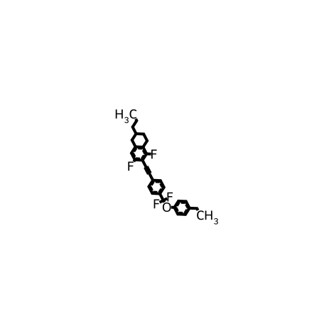 CCCC1CCc2c(cc(F)c(C#Cc3ccc(C(F)(F)Oc4ccc(CC)cc4)cc3)c2F)C1